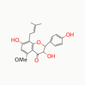 COc1cc(O)c(CC=C(C)C)c2c1C(=O)C(O)C(c1ccc(O)cc1)O2